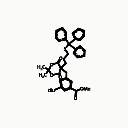 COC(=O)c1cc(CC2(CCCSC(c3ccccc3)(c3ccccc3)c3ccccc3)C(=O)OC(C)(C)OC2=O)cc(C(C)(C)C)c1